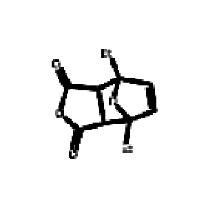 CCC12C=CC(CC)(O1)C1C(=O)OC(=O)C12